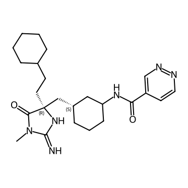 CN1C(=N)N[C@](CCC2CCCCC2)(C[C@H]2CCCC(NC(=O)c3ccnnc3)C2)C1=O